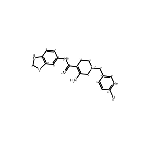 NC1=C(C(=O)Nc2ccc3c(c2)OCO3)CCN(Cc2ccc(Cl)nc2)C1